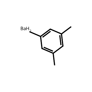 Cc1cc(C)cc(C)c1.[BaH2]